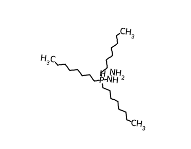 CCCCCCCC[PH](CCCCCCCC)(CCCCCCCC)NN